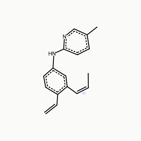 C=Cc1ccc(Nc2ccc(C)cn2)cc1/C=C\C